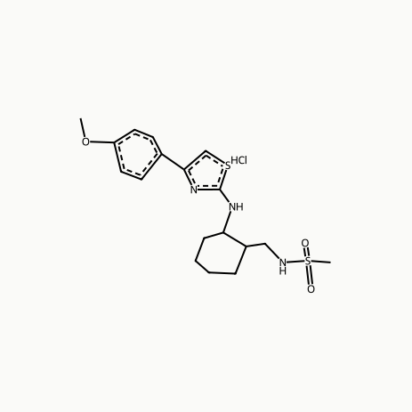 COc1ccc(-c2csc(NC3CCCCC3CNS(C)(=O)=O)n2)cc1.Cl